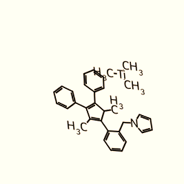 CC1=C(c2ccccc2Cn2cccc2)C(C)C(c2ccccc2)=C1c1ccccc1.[CH3][Ti]([CH3])[CH3]